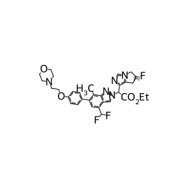 CCOC(=O)C(c1ncn2c1C[C@@H](F)C2)n1cc2c(C(F)F)cc(-c3ccc(OCCN4CCOCC4)cc3)c(C)c2n1